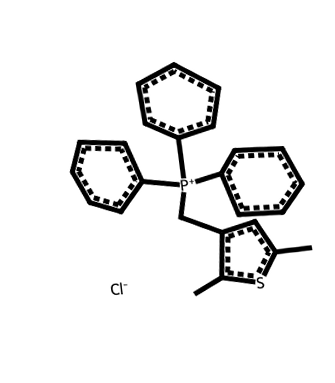 Cc1cc(C[P+](c2ccccc2)(c2ccccc2)c2ccccc2)c(C)s1.[Cl-]